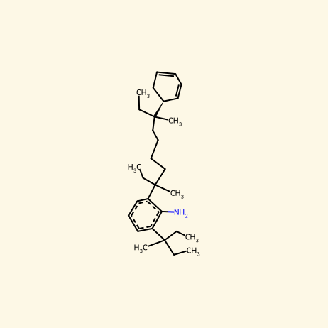 CCC(C)(CC)c1cccc(C(C)(CC)CCCCC(C)(CC)[C@@H]2C=CC=CC2)c1N